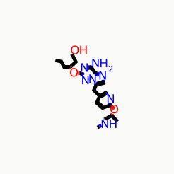 CCCC(CCO)Oc1nc(N)c2ncc(Cc3ccc(OC(C)CNC)nc3)n2n1